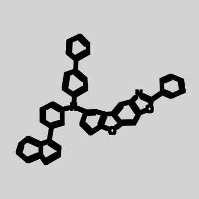 c1ccc(-c2ccc(N(c3cccc(-c4cccc5ccccc45)c3)c3ccc4oc5cc6oc(-c7ccccc7)nc6cc5c4c3)cc2)cc1